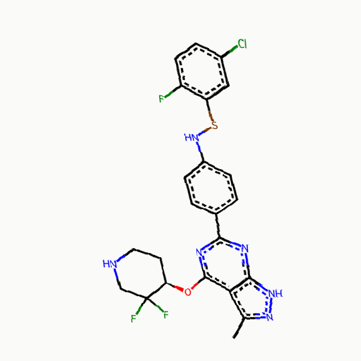 Cc1n[nH]c2nc(-c3ccc(NSc4cc(Cl)ccc4F)cc3)nc(O[C@@H]3CCNCC3(F)F)c12